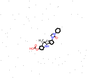 CC1(C)Cc2cc(OC(=O)O)ccc2NC1c1cccc(N2CCN(c3ccccc3)C2=O)c1